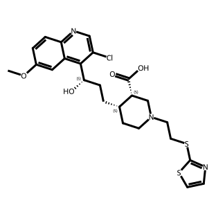 COc1ccc2ncc(Cl)c([C@@H](O)CC[C@H]3CCN(CCSc4nccs4)C[C@H]3C(=O)O)c2c1